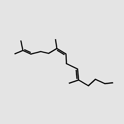 CCCCC(C)=CCC=C(C)CCC=C(C)C